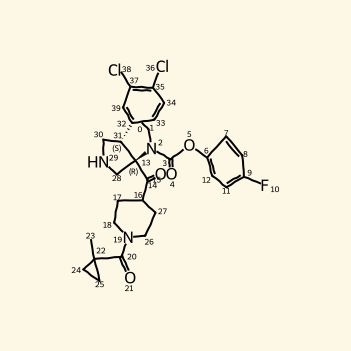 CCN(C(=O)Oc1ccc(F)cc1)[C@@]1(C(=O)C2CCN(C(=O)C3(C)CC3)CC2)CNC[C@@H]1c1ccc(Cl)c(Cl)c1